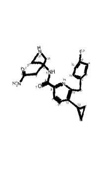 NC(=O)CC1(NC(=O)c2ccc(C3CC3)c(Cc3ccc(F)cc3)n2)CNC1